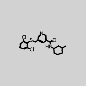 CC1CCCC(NC(=O)c2cncc(CSc3c(Cl)cccc3Cl)c2)C1